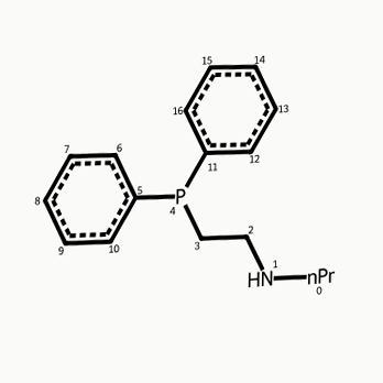 CCCNCCP(c1ccccc1)c1ccccc1